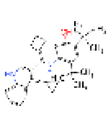 CC(C)(C)c1cc(C(C)(C)C)c(NC(C2=CNc3ccccc3C2=C2CC2)=C2CCC2)cc1O